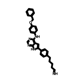 N=CCCCCc1ccc(-c2cc3c(Nc4ccc(OCc5ccccc5)cc4)ncnc3[nH]2)cc1